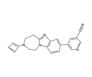 N#Cc1cncc(-c2ccc3c(c2)nc2n3CCN(C3=CC=C3)CC2)c1